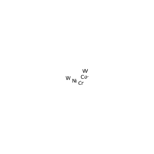 [Co].[Cr].[Ni].[W].[W]